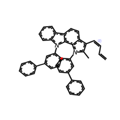 C=C/C=C\c1c(C)n(-c2cccc(-c3ccccc3)c2)c2c1ccc1c3ccccc3n(-c3cccc(-c4ccccc4)c3)c12